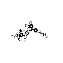 CCCOc1ccc(/C(=C/C(=O)N2CCN(C(=O)c3cc(OC)c(OC)c(OC)c3)CC2)c2ccc(Cl)c(Cl)c2)cc1